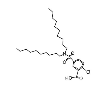 CCCCCCCCCCN(CCCCCCCCCC)S(=O)(=O)c1ccc(Cl)c(C(=O)O)c1